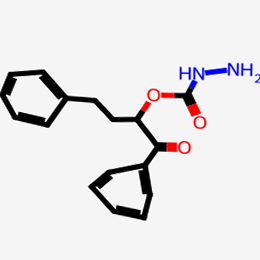 NNC(=O)OC(CCc1ccccc1)C(=O)c1ccccc1